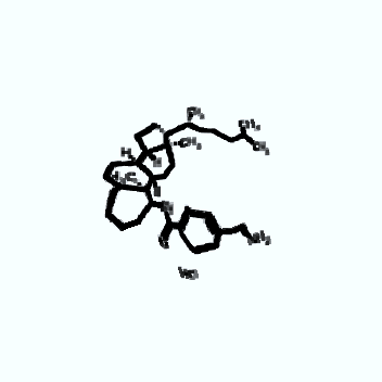 CC(C)CCC[C@@H](C)[C@H]1CC[C@H]2[C@@H]3CCC4CCCC(NC(=O)c5ccc(CN)cc5)[C@]4(C)[C@H]3CC[C@]12C.Cl